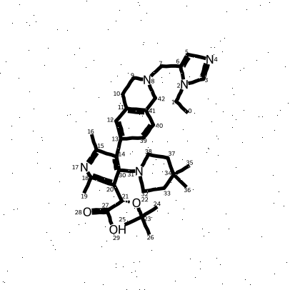 CCn1cncc1CN1CCc2cc(-c3c(C)nc(C)c([C@H](OC(C)(C)C)C(=O)O)c3N3CCC(C)(C)CC3)ccc2C1